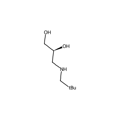 CC(C)(C)CNC[C@H](O)CO